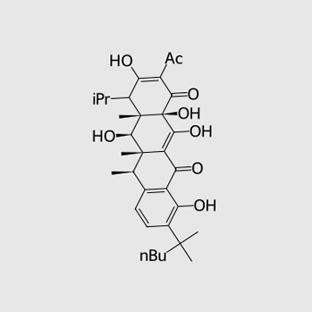 CCCCC(C)(C)c1ccc2c(c1O)C(=O)C1=C(O)[C@@]3(O)C(=O)C(C(C)=O)=C(O)C(C(C)C)[C@@]3(C)[C@H](O)[C@@]1(C)[C@@H]2C